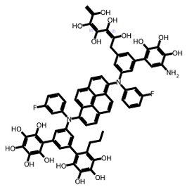 C=C(O)/C(O)=C(O)\C(O)=C(\O)Cc1cc(-c2cc(N)c(O)c(O)c2O)cc(N(c2cccc(F)c2)c2ccc3ccc4c(N(c5cccc(F)c5)c5cc(-c6c(O)c(O)c(O)c(O)c6O)cc(-c6c(O)c(O)c(O)c(O)c6CCC)c5)ccc5ccc2c3c54)c1